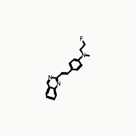 CN(CCF)c1ccc(C=Cc2ncc3ccccc3n2)cc1